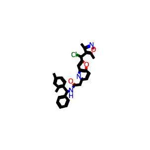 Cc1ccc(C(NC(=O)Cc2ccc3oc(C(Cl)c4c(C)noc4C)cc3n2)c2ccccc2)c(C)c1